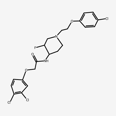 O=C(COc1ccc(Cl)c(Cl)c1)NC1CCN(CCOc2ccc(Cl)cc2)CC1F